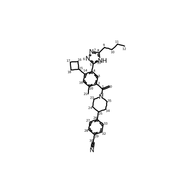 C=C(c1cc(-c2nnc(CCCC)[nH]2)c(C2CCC2)cc1C)N1CCC(c2ccc(C#N)cc2)CC1